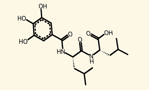 CC(C)C[C@H](NC(=O)[C@H](CC(C)C)NC(=O)c1cc(O)c(O)c(O)c1)C(=O)O